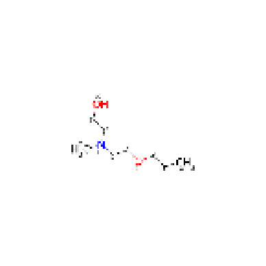 CCCOCCN(C)CCO